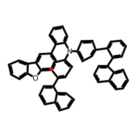 c1ccc(-c2cccc3ccccc23)c(-c2ccc(N(c3ccc(-c4cccc5ccccc45)cc3)c3ccccc3-c3ccc4oc5ccccc5c4c3)cc2)c1